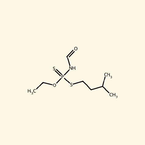 CCOP(=S)(NC=O)SCCC(C)C